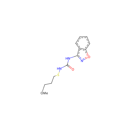 COCCCSNC(=O)Nc1noc2ccccc12